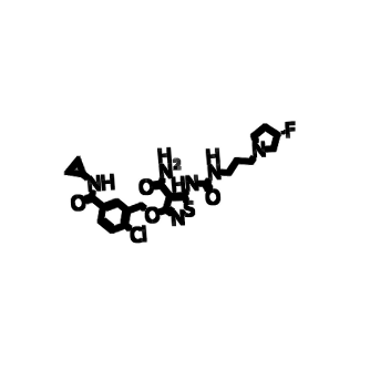 NC(=O)c1c(OCc2cc(C(=O)NC3CC3)ccc2Cl)nsc1NC(=O)NCCCN1CC[C@H](F)C1